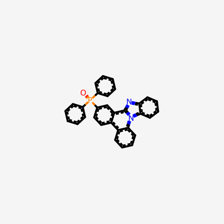 O=P(c1ccccc1)(c1ccccc1)c1ccc2c3ccccc3n3c4ccccc4nc3c2c1